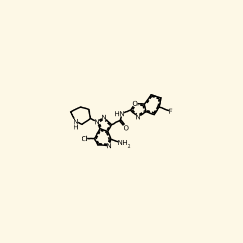 Nc1ncc(Cl)c2c1c(C(=O)Nc1nc3cc(F)ccc3o1)nn2C1CCCNC1